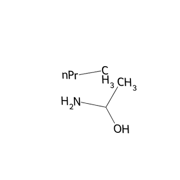 CC(N)O.CCCC